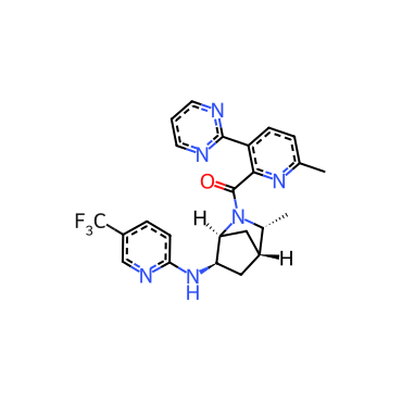 Cc1ccc(-c2ncccn2)c(C(=O)N2[C@H](C)[C@@H]3C[C@@H](Nc4ccc(C(F)(F)F)cn4)[C@@H]2C3)n1